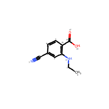 CCNc1cc(C#N)ccc1C(=O)O